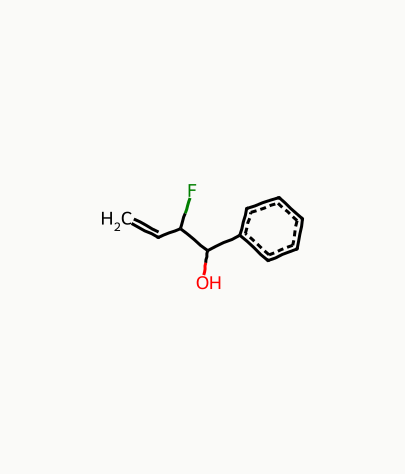 C=CC(F)C(O)c1ccccc1